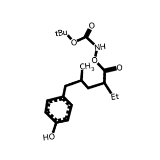 CCC(CC(C)Cc1ccc(O)cc1)C(=O)ONC(=O)OC(C)(C)C